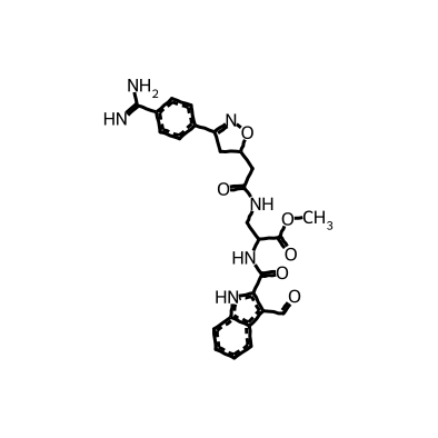 COC(=O)C(CNC(=O)CC1CC(c2ccc(C(=N)N)cc2)=NO1)NC(=O)c1[nH]c2ccccc2c1C=O